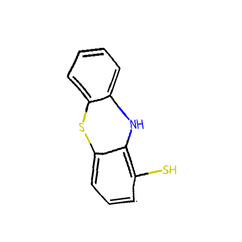 Sc1[c]ccc2c1Nc1ccccc1S2